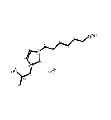 CCCCCCCCCCCCCCCCN1C=CN(CC(C)O)C1.Cl